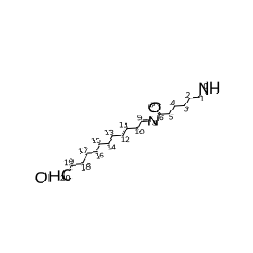 N=CCCCCC(=O)N=CCCCCCCCCCCC=O